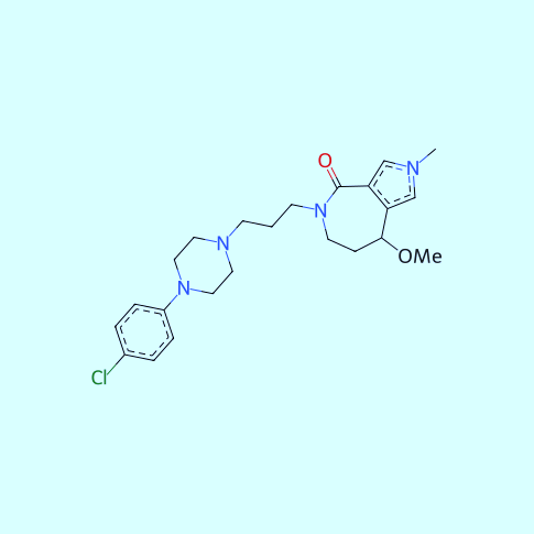 COC1CCN(CCCN2CCN(c3ccc(Cl)cc3)CC2)C(=O)c2cn(C)cc21